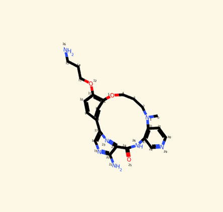 CN1CCCOc2cc(ccc2OCCCN)-c2cnc(N)c(n2)C(=O)Nc2cnccc21